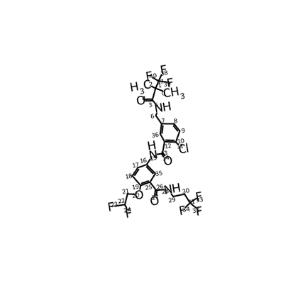 CC(C)(C(=O)NCc1ccc(Cl)c(C(=O)Nc2ccc(OCC(F)F)c(C(=O)NCCC(F)(F)F)c2)c1)C(F)(F)F